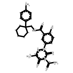 Cc1ccc(C2(CNC(=O)c3cc(-n4nc(C)c(=O)n(C(N)=O)c4=O)ccc3Cl)CCCCC2)cc1